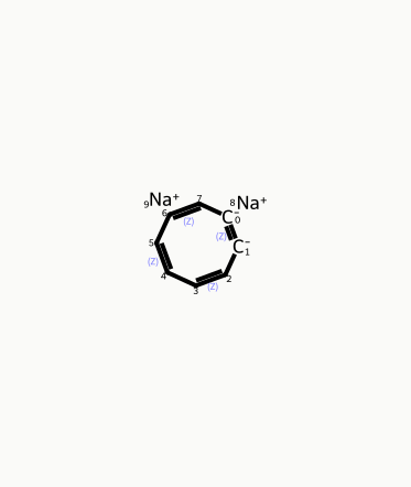 [C-]1=[C-]\C=C/C=C\C=C/1.[Na+].[Na+]